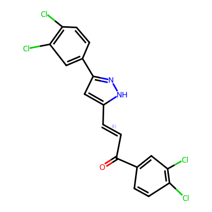 O=C(/C=C/c1cc(-c2ccc(Cl)c(Cl)c2)n[nH]1)c1ccc(Cl)c(Cl)c1